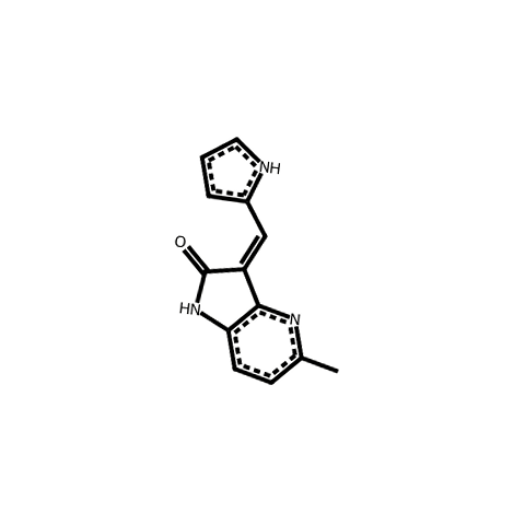 Cc1ccc2c(n1)C(=Cc1ccc[nH]1)C(=O)N2